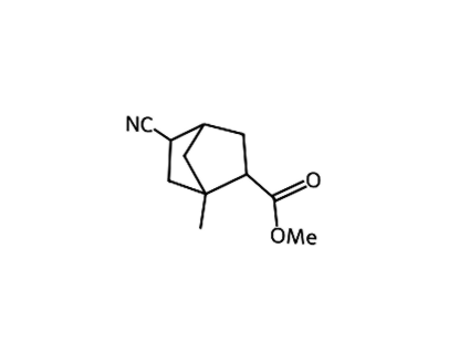 COC(=O)C1CC2CC1(C)CC2C#N